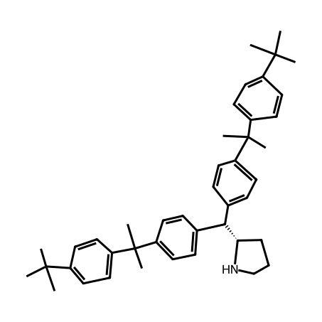 CC(C)(C)c1ccc(C(C)(C)c2ccc(C(c3ccc(C(C)(C)c4ccc(C(C)(C)C)cc4)cc3)[C@@H]3CCCN3)cc2)cc1